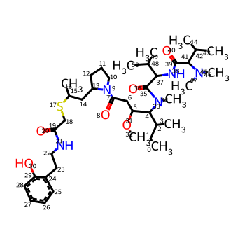 CCC(C)C(C(CC(=O)N1CCCC1CC(C)SCC(=O)NCCc1ccccc1O)OC)N(C)C(=O)C(NC(=O)C(C(C)C)N(C)C)C(C)C